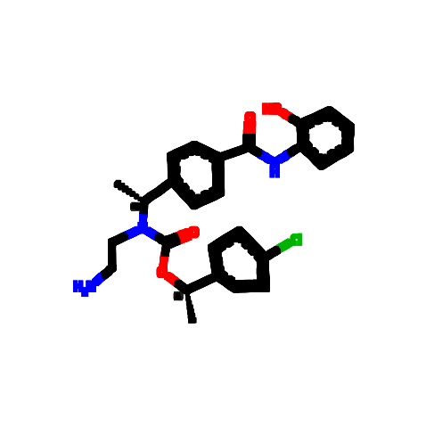 C[C@H](OC(=O)N(CCN)[C@H](C)c1ccc(C(=O)Nc2ccccc2O)cc1)c1ccc(Cl)cc1